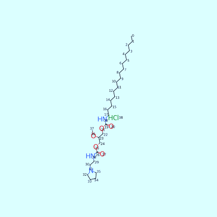 CCCCCCCCCCCCCCCCCCNC(=O)OCC(COC(=O)NCCN1CCCC1)OC.Cl